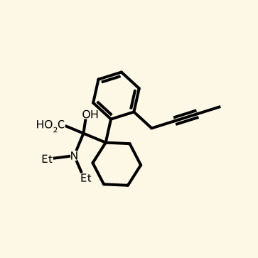 CC#CCc1ccccc1C1(C(O)(C(=O)O)N(CC)CC)CCCCC1